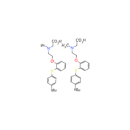 CC(C)N(CCOc1ccccc1Sc1ccc(C(C)(C)C)cc1)CC(=O)O.CN(CCOc1ccccc1Sc1ccc(C(C)(C)C)cc1)CC(=O)O